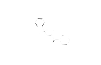 CC(C)(CNC(=O)C1CCCCC1)c1ccccc1